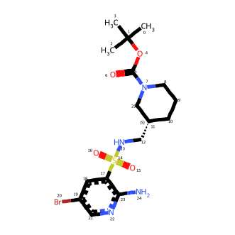 CC(C)(C)OC(=O)N1CCC[C@H](CNS(=O)(=O)c2cc(Br)cnc2N)C1